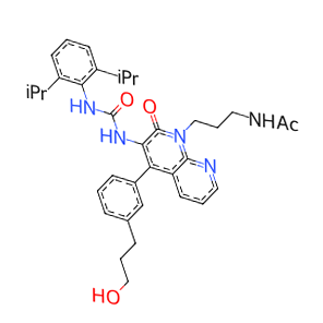 CC(=O)NCCCn1c(=O)c(NC(=O)Nc2c(C(C)C)cccc2C(C)C)c(-c2cccc(CCCO)c2)c2cccnc21